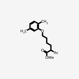 COC(=O)C(CCCCOc1cc(C)ccc1C)C(C)=O